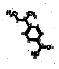 CC[C@H](C)c1ccc(C(=O)O)cc1